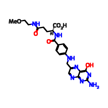 COCCNC(=O)CC[C@@H](NC(=O)c1ccc(NCc2cnc3nc(N)nc(O)c3n2)cc1)C(=O)O